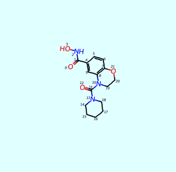 O=C(NO)c1ccc2c(c1)N(C(=O)N1CCCCC1)CCO2